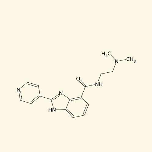 CN(C)CCNC(=O)c1cccc2[nH]c(-c3ccncc3)nc12